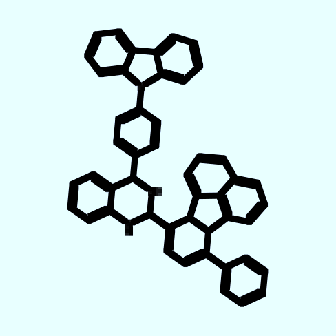 C1=C(c2ccccc2)C2c3cccc4cccc(c34)C2C(C2Nc3ccccc3C(c3ccc(-n4c5ccccc5c5ccccc54)cc3)N2)=C1